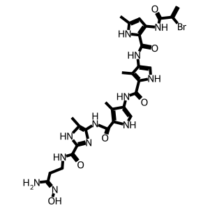 C=C(Br)C(=O)Nc1cc(C)[nH]c1C(=O)Nc1c[nH]c(C(=O)Nc2c[nH]c(C(=O)Nc3nc(C(=O)NCCC(N)=NO)[nH]c3C)c2C)c1C